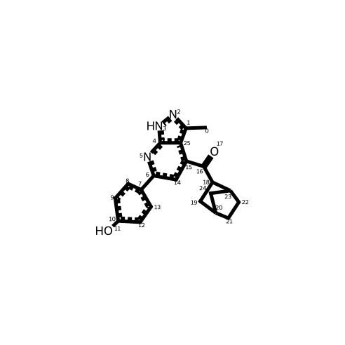 Cc1n[nH]c2nc(-c3ccc(O)cc3)cc(C(=O)C3CC4CCC3C4)c12